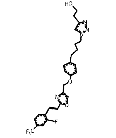 OCCc1cn(CCCCc2ccc(OCc3coc(C=Cc4ccc(C(F)(F)F)cc4F)n3)cc2)nn1